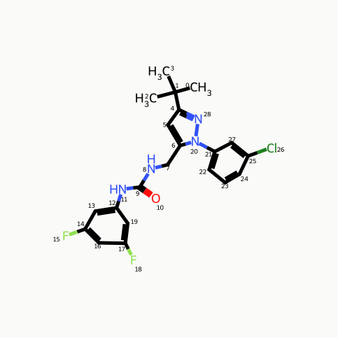 CC(C)(C)c1cc(CNC(=O)Nc2cc(F)cc(F)c2)n(-c2cccc(Cl)c2)n1